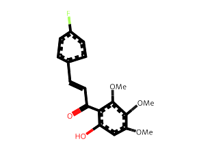 COc1cc(O)c(C(=O)C=Cc2ccc(F)cc2)c(OC)c1OC